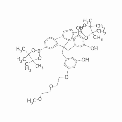 COCCOCCOc1cc(O)cc(CC2(Cc3cc(O)cc(O)c3)c3cc(B4OC(C)(C)C(C)(C)O4)ccc3-c3ccc(B4OC(C)(C)C(C)(C)O4)cc32)c1